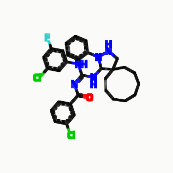 O=C(/N=C(/Nc1cc(F)cc(Cl)c1)NC1N(c2ccccc2)NCC12CCCCCCCC2)c1cccc(Cl)c1